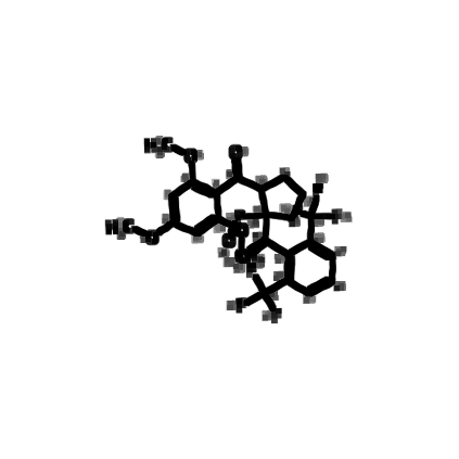 COc1cc(OC)c(C(=O)C2CCCC2(P=O)C(=O)c2c(C(F)(F)F)cccc2C(F)(F)F)c(OC)c1